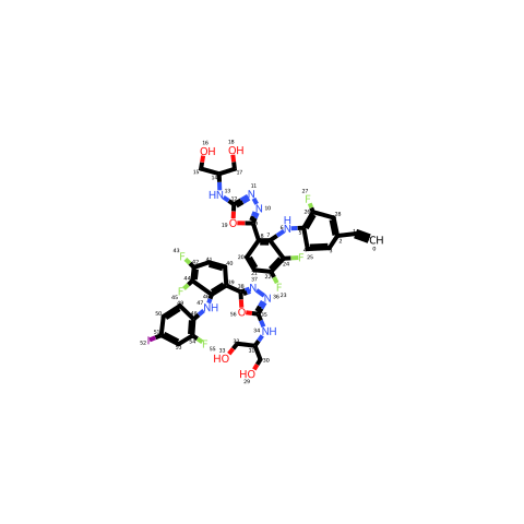 C#Cc1ccc(Nc2c(-c3nnc(NC(CO)CO)o3)ccc(F)c2F)c(F)c1.OCC(CO)Nc1nnc(-c2ccc(F)c(F)c2Nc2ccc(I)cc2F)o1